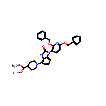 COC(OC)C1CCN(c2cccc3c2[nH]c(=O)n3-c2ccc(OCc3ccccc3)nc2OCc2ccccc2)CC1